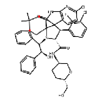 CC1(C)CCC2(CC1)N([C@H](c1ccccc1)[C@@H](O)c1ccccc1)[C@@H](C(=O)N[C@@H]1CC[C@@H](CO)OC1)[C@H](c1cccc(Cl)c1F)C21C(=O)Nc2nc(Cl)ccc21